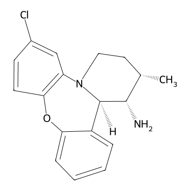 C[C@H]1CCN2c3cc(Cl)ccc3Oc3ccccc3[C@@H]2[C@H]1N